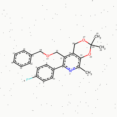 Cc1nc(-c2ccc(F)cc2)c(COCc2ccccc2)c2c1OC(C)(C)OC2